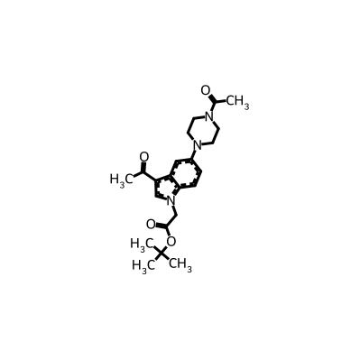 CC(=O)c1cn(CC(=O)OC(C)(C)C)c2ccc(N3CCN(C(C)=O)CC3)cc12